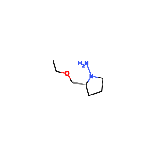 CCOC[C@H]1CCCN1N